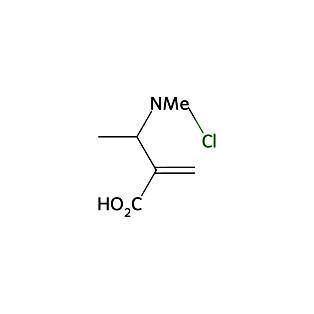 C=C(C(=O)O)C(C)NC.CCl